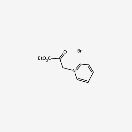 CCOC(=O)C(=O)C[n+]1ccccc1.[Br-]